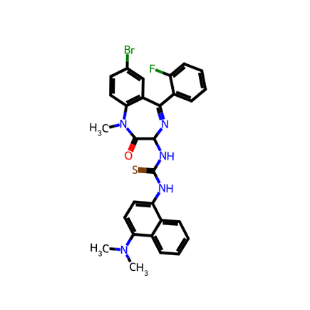 CN(C)c1ccc(NC(=S)NC2N=C(c3ccccc3F)c3cc(Br)ccc3N(C)C2=O)c2ccccc12